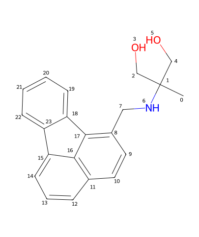 CC(CO)(CO)NCc1ccc2cccc3c2c1-c1ccccc1-3